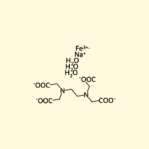 O.O.O.O=C([O-])CN(CCN(CC(=O)[O-])CC(=O)[O-])CC(=O)[O-].[Fe+3].[Na+]